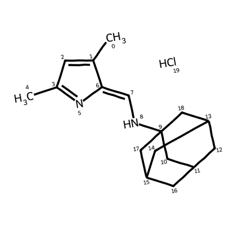 CC1=CC(C)=NC1=CNC12CC3CC(CC(C3)C1)C2.Cl